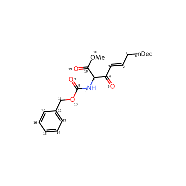 CCCCCCCCCCCC=CC(=O)C(NC(=O)OCc1ccccc1)C(=O)OC